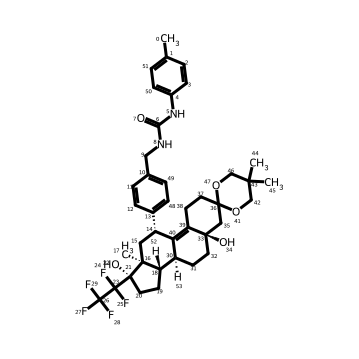 Cc1ccc(NC(=O)NCc2ccc([C@H]3C[C@@]4(C)[C@@H](CC[C@@]4(O)C(F)(F)C(F)(F)F)[C@@H]4CC[C@@]5(O)CC6(CCC5=C43)OCC(C)(C)CO6)cc2)cc1